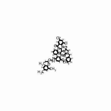 CCC(OCNc1ccc(OC)c(NC(=O)C(c2nc3c(Cl)cc(Cl)cc3c(=O)n2-c2ccccc2)N2C(=O)CN(Cc3ccccc3)C2=O)c1)Oc1ccc(C)cc1C